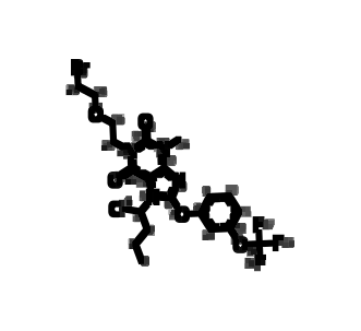 CCCC(Cl)n1c(Oc2cccc(OC(F)(F)F)c2)nc2c1c(=O)n(CCOCCBr)c(=O)n2C